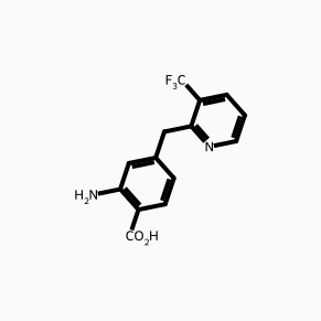 Nc1cc(Cc2ncccc2C(F)(F)F)ccc1C(=O)O